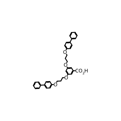 O=C(O)c1cc(OCCCOc2ccc(-c3ccccc3)cc2)cc(OCCCOc2ccc(-c3ccccc3)cc2)c1